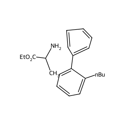 CCCCc1ccccc1-c1ccccc1.CCOC(=O)C(C)N